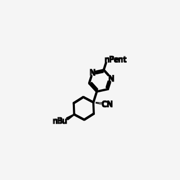 CCCCCc1ncc([C@]2(C#N)CC[C@H](CCCC)CC2)cn1